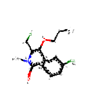 CCCOc1c(CCl)n(C)c(=O)c2ccc(Cl)cc12